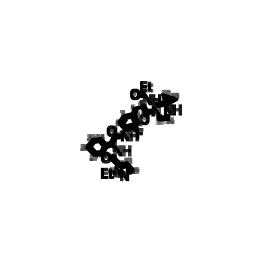 CCC(=O)N[C@H](Cc1ccc(NC(=O)[C@@H](NC(=O)c2ccnn2CC)C2CCCCC2)c(F)c1)C(=O)N1CCNC2(CC2)C1